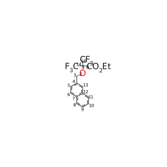 CCOC(=O)C(OCc1ccc2ccccc2c1)(C(F)(F)F)C(F)(F)F